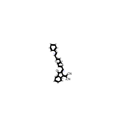 N#CC(C#N)=C1/C(=C/c2cc3oc(/C=C/c4ccccc4)cc3s2)C(=O)c2ccccc21